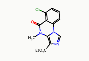 CCOC(=O)c1ncn2c3cccc(Cl)c3c(=O)n(C)c12